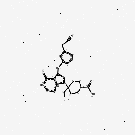 CCC1(n2nc(Nc3cccc(CC#N)c3)c3c(=O)[nH]ccc32)CCN(C(=O)O)CC1